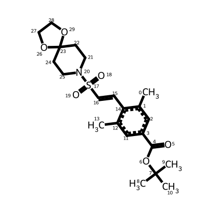 Cc1cc(C(=O)OC(C)(C)C)cc(C)c1/C=C/S(=O)(=O)N1CCC2(CC1)OCCO2